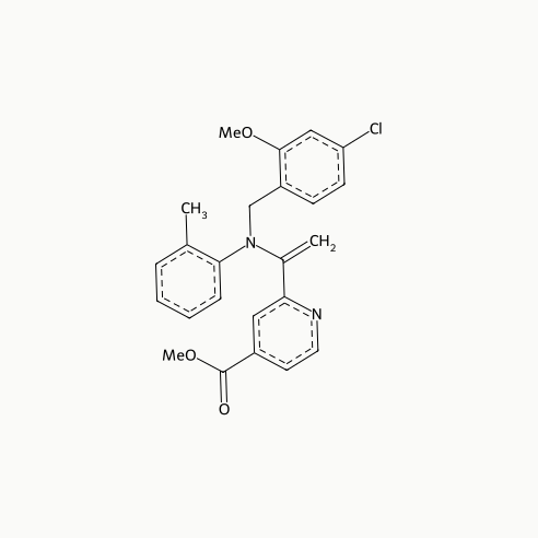 C=C(c1cc(C(=O)OC)ccn1)N(Cc1ccc(Cl)cc1OC)c1ccccc1C